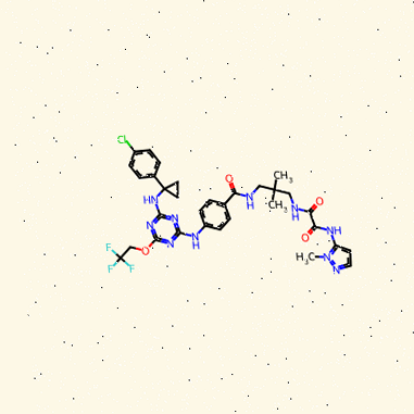 Cn1nccc1NC(=O)C(=O)NCC(C)(C)CNC(=O)c1ccc(Nc2nc(NC3(c4ccc(Cl)cc4)CC3)nc(OCC(F)(F)F)n2)cc1